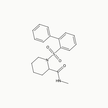 CNC(=O)C1CCCCN1S(=O)(=O)c1ccccc1-c1ccccc1